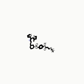 Cc1ccsc1/C(=C\CCC1CCC[C@@H](C(=O)Oc2ccc(NC(=O)CCN=[N+]=[N-])cc2)C1)c1cccs1